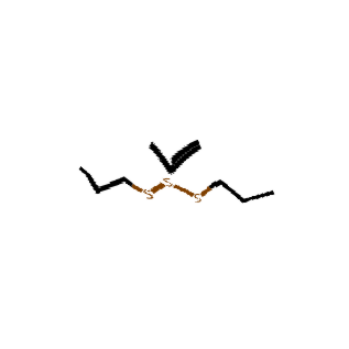 C=CC.CCCSSSCCC